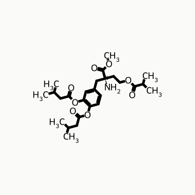 COC(=O)[C@@](N)(CCOC(=O)C(C)C)Cc1ccc(OC(=O)CC(C)C)c(OC(=O)CC(C)C)c1